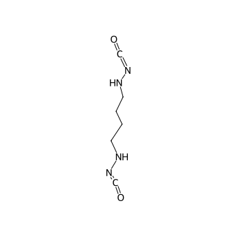 O=C=NNCCCCNN=C=O